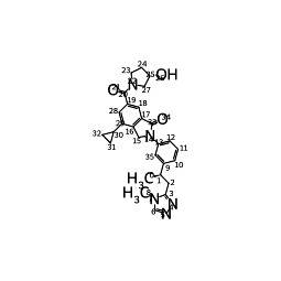 C[C@H](Cc1nncn1C)c1cccc(N2Cc3c(cc(C(=O)N4CC[C@H](O)C4)cc3C3CC3)C2=O)c1